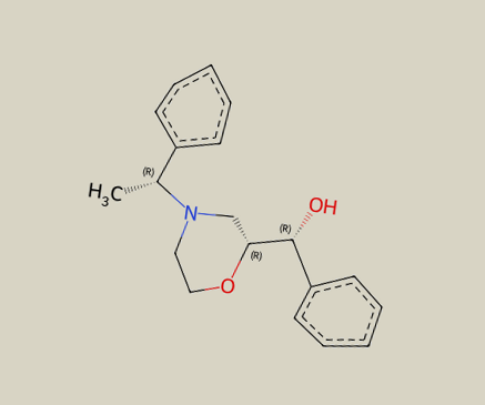 C[C@H](c1ccccc1)N1CCO[C@@H]([C@H](O)c2ccccc2)C1